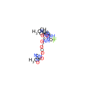 CC(C)N(C)[C@@H]1CC[C@H](N2CC[C@@H](Nc3ncnc4ccc(C(F)(F)F)cc34)C2=O)[C@H](NC(=O)C2CC(NC(=O)CCCOC3CCC(OCCNC(=O)[C@H]4CC(=O)N(C)[C@@H]4c4cccnc4)CC3)C2)C1